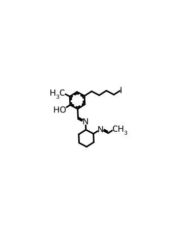 C/C=N/C1CCCCC1/N=C/c1cc(CCCCI)cc(C)c1O